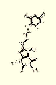 Cn1c(=O)c2c(nc(OCCCOc3ncc(Cl)cc3Cl)n2C)n(C)c1=O